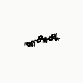 CC(C)Oc1ccc(-c2nnc(-c3cccc4c3CCC4CNCc3ncc[nH]3)s2)cc1C#N